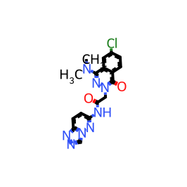 CN(C)c1nn(CC(=O)Nc2ccc3nncn3n2)c(=O)c2ccc(Cl)cc12